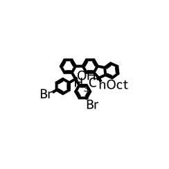 CCCCCCCCC1(C)c2ccccc2-c2ccc(-c3ccccc3C(O)(c3ccc(Br)cc3)c3ccc(Br)cc3)cc21